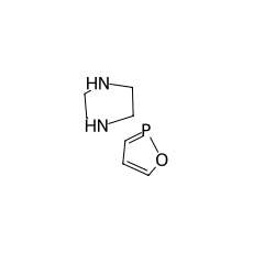 C1CNCCN1.c1copc1